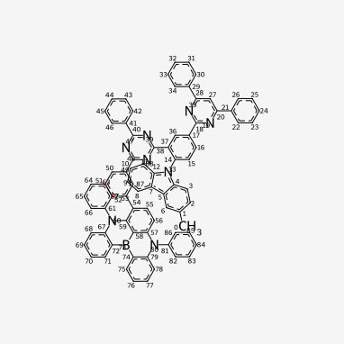 Cc1ccc2c(c1)c1ccccc1n2-c1ccc(-c2nc(-c3ccccc3)cc(-c3ccccc3)n2)cc1-c1nc(-c2ccccc2)nc(-c2cccc(-c3ccc4c5c3N(c3ccccc3)c3ccccc3B5c3ccccc3N4c3ccccc3)c2)n1